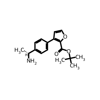 C[C@@H](N)c1ccc(-c2ccoc2C(=O)OC(C)(C)C)cc1